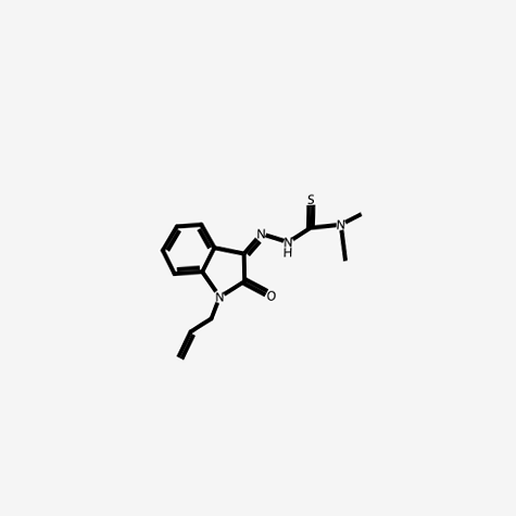 C=CCN1C(=O)C(=NNC(=S)N(C)C)c2ccccc21